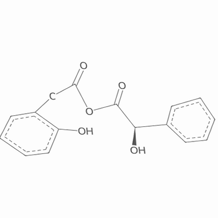 O=C(Cc1ccccc1O)OC(=O)[C@H](O)c1ccccc1